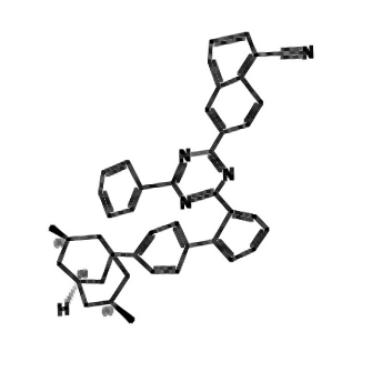 C[C@@H]1C[C@@H]2C[C@H](C)CC(c3ccc(-c4ccccc4-c4nc(-c5ccccc5)nc(-c5ccc6c(C#N)cccc6c5)n4)cc3)(C1)C2